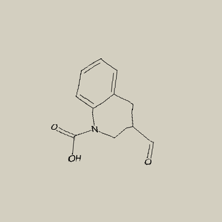 O=CC1Cc2ccccc2N(C(=O)O)C1